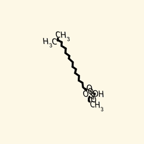 CCC(OC(=O)CCCCCCCCCCCCCCC(C)C)S(=O)(=O)O